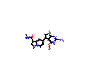 CNC(=O)c1cnn2ccc(-c3c[nH]c4nc(N)nc(OC)c34)cc12